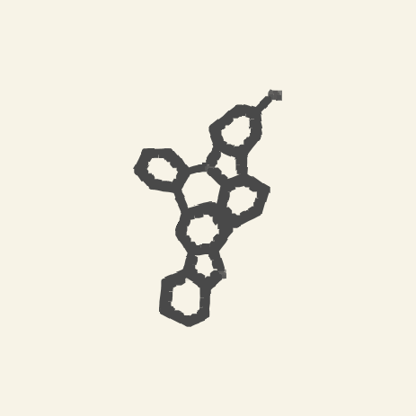 N#Cc1ccc2c(c1)c1ccccc1n2-c1ccccc1-c1ccc2sc3ccccc3c2c1